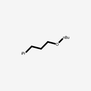 CCCCOCCCC(C)C